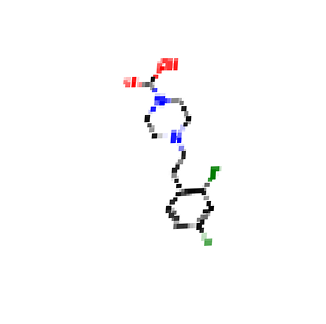 O=C(O)N1CCN(CCc2ccc(F)cc2F)CC1